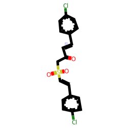 O=C(/C=C/c1ccc(Cl)cc1)CS(=O)(=O)C=Cc1ccc(Cl)cc1